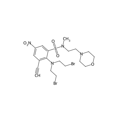 C#Cc1cc([N+](=O)[O-])cc(S(=O)(=O)N(C)CCN2CCOCC2)c1N(CCBr)CCBr